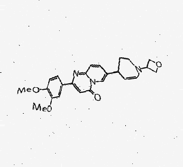 COc1ccc(-c2cc(=O)n3cc(C4C=CN(C5COC5)CC4)ccc3n2)cc1OC